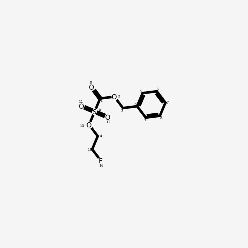 O=C(OCc1ccccc1)S(=O)(=O)OCCF